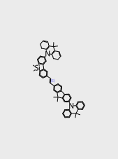 CC1(C)C2=C(CCC=C2)N(c2ccc3c(c2)-c2cc(/C=C/c4ccc5c(c4)C(C)(C)c4cc(N6c7ccccc7C(C)(C)c7ccccc76)ccc4-5)ccc2[Si]3(C)C)C2=C1C=CCC2